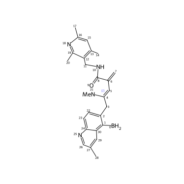 Bc1c(C/C(=C/C(=C)C(=O)NCc2c(C)cc(C)nc2C)NC)ccc2ncc(C)cc12